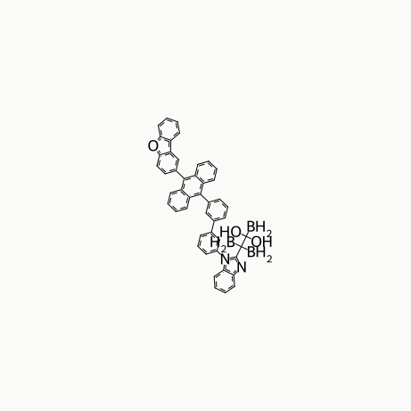 BC(O)(O)C(B)(B)c1nc2ccccc2n1-c1cccc(-c2cccc(-c3c4ccccc4c(-c4ccc5oc6ccccc6c5c4)c4ccccc34)c2)c1